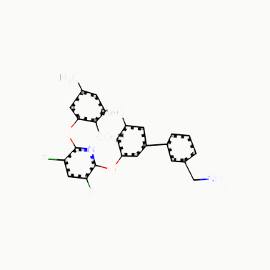 COc1cc(Oc2nc(Oc3cc(C)ccc3C(=O)O)c(F)cc2F)cc(-c2cccc(CN)c2)c1